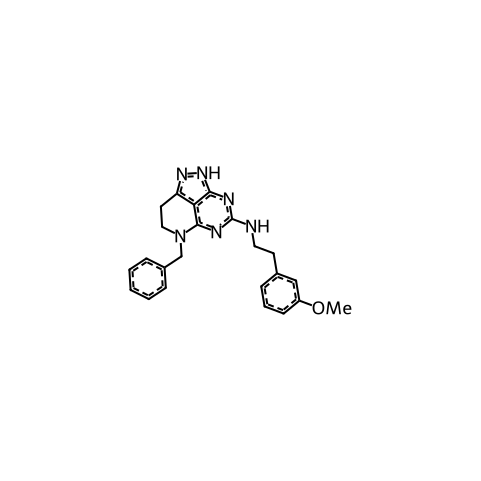 COc1cccc(CCNc2nc3c4c(n[nH]c4n2)CCN3Cc2ccccc2)c1